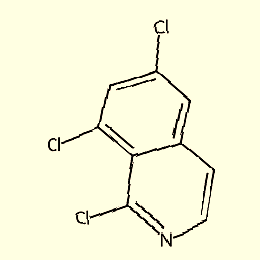 Clc1cc(Cl)c2c(Cl)nccc2c1